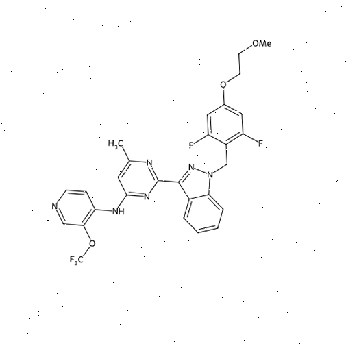 COCCOc1cc(F)c(Cn2nc(-c3nc(C)cc(Nc4ccncc4OC(F)(F)F)n3)c3ccccc32)c(F)c1